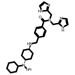 CCCN(C1CCCCC1)[C@H]1CC[C@H](NCc2ccc(C(=O)N(Cc3ncc[nH]3)Cc3ncc[nH]3)cc2)CC1